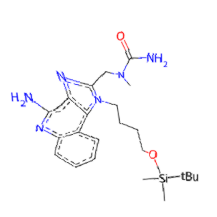 CN(Cc1nc2c(N)nc3ccccc3c2n1CCCCO[Si](C)(C)C(C)(C)C)C(N)=O